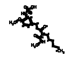 CCCCCCN(C(=O)CCc1ccc(OC)c(NS(=O)(=O)O)c1)C(=O)NC